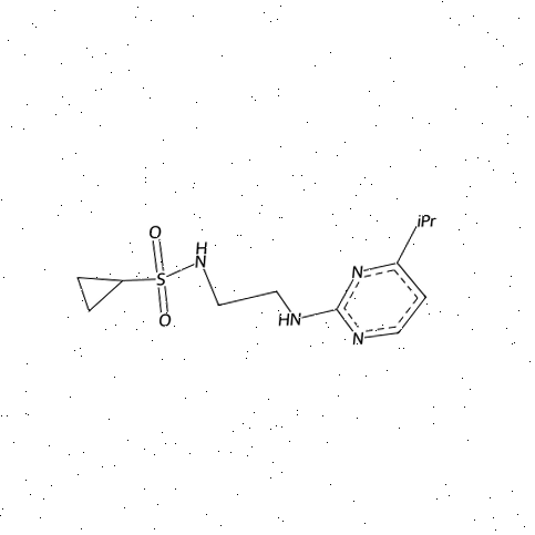 CC(C)c1ccnc(NCCNS(=O)(=O)C2CC2)n1